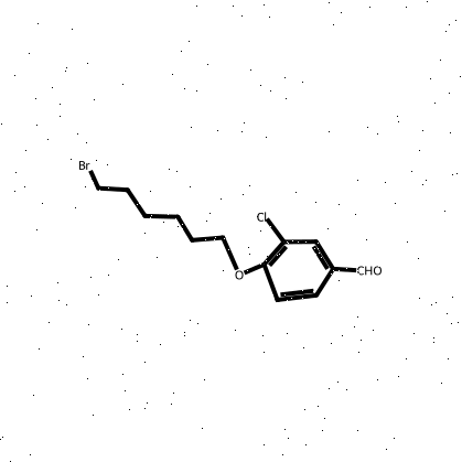 O=Cc1ccc(OCCCCCCBr)c(Cl)c1